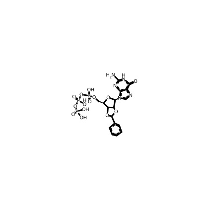 Nc1nc2c(ncn2[C@@H]2O[C@H](COP(=O)(O)OP(=O)(O)OP(=O)(O)O)C3OC(c4ccccc4)OC32)c(=O)[nH]1